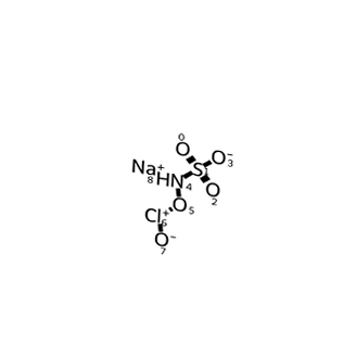 O=S(=O)([O-])NO[Cl+][O-].[Na+]